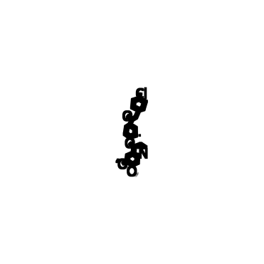 COc1cc2nccc(Oc3[c]cc(C(=O)Cc4ccc(Cl)cc4)cc3)c2cc1OC